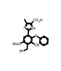 COc1cc(-c2nc(C)c(C(=O)O)[se]2)c(Sc2ccccc2)c(C#N)c1CC(C)C